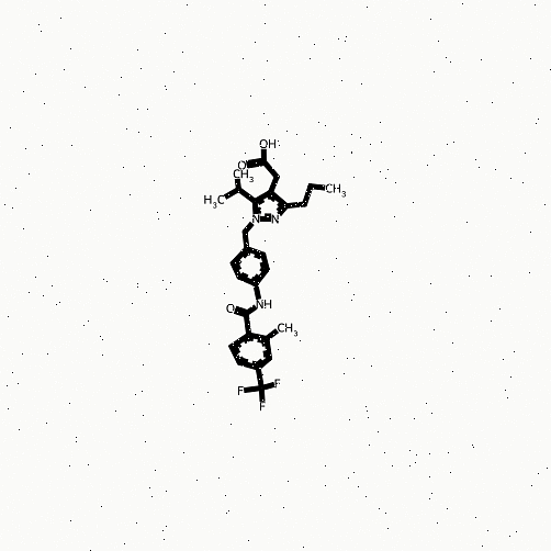 CCCc1nn(Cc2ccc(NC(=O)c3ccc(C(F)(F)F)cc3C)cc2)c(C(C)C)c1CC(=O)O